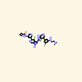 CN(C)CCNc1cc(F)cc(-c2cncc3[nH]c(-c4n[nH]c5cnc(-c6cncc(NC(=O)C7CCC7)c6)c(F)c45)nc23)c1